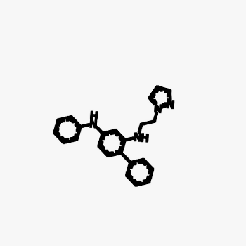 c1ccc(Nc2ccc(-c3ccccc3)c(NCCn3cccn3)c2)cc1